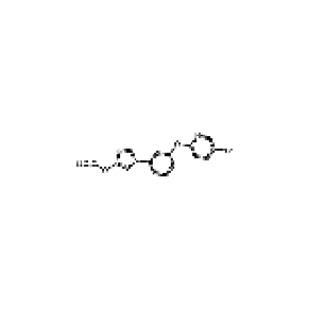 CCOC(=O)Oc1cn(-c2cccc(Oc3ccc(Br)cn3)c2)cn1